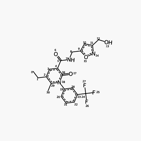 CCc1cc(C(=O)NCc2cc(CO)no2)c(=O)n(-c2cccc(C(F)(F)F)c2)c1C